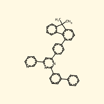 CC1(C)c2ccccc2-c2c(-c3ccc(-c4cc(-c5cccnc5)nc(-c5cccc(-c6ccccc6)c5)n4)cc3)cccc21